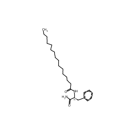 CCCCCCCCCCCCCCCC(=O)N[C@@H](Cc1ccccc1)C(N)=O